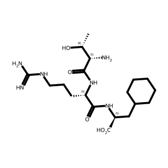 C[C@@H](O)[C@H](N)C(=O)N[C@@H](CCCNC(=N)N)C(=O)N[C@@H](CC1CCCCC1)C(=O)O